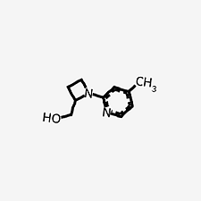 Cc1ccnc(N2CCC2CO)c1